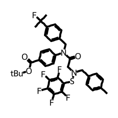 Cc1ccc(CN(CC(=O)N(Cc2ccc(C(C)(C)F)cc2)c2ccc(C(=O)OC(C)(C)C)cc2)Sc2c(F)c(F)c(F)c(F)c2F)cc1